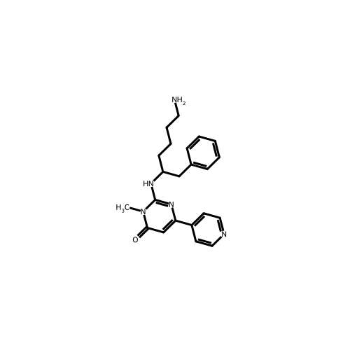 Cn1c(NC(CCCCN)Cc2ccccc2)nc(-c2ccncc2)cc1=O